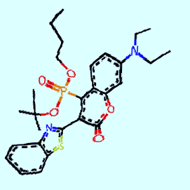 CCCCOP(=O)(OC(C)(C)C)c1c(-c2nc3ccccc3s2)c(=O)oc2cc(N(CC)CC)ccc12